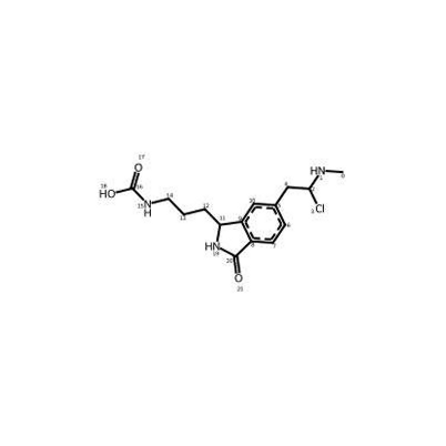 CNC(Cl)Cc1ccc2c(c1)C(CCCNC(=O)O)NC2=O